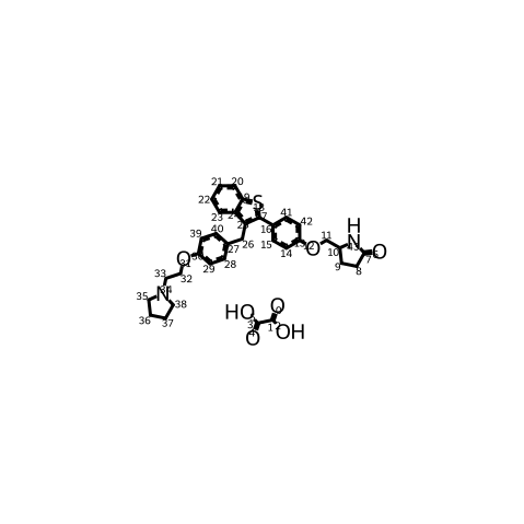 O=C(O)C(=O)O.O=C1CCC(COc2ccc(-c3sc4ccccc4c3Cc3ccc(OCCN4CCCC4)cc3)cc2)N1